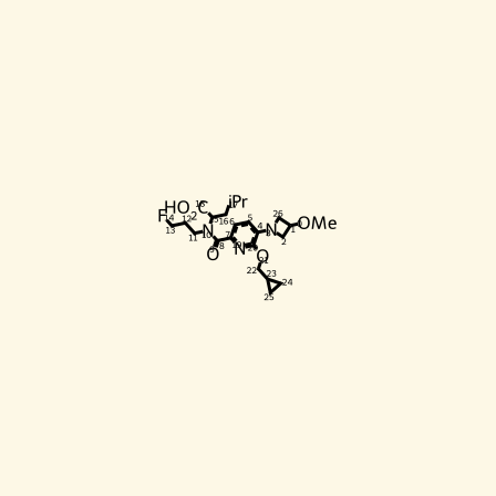 COC1CN(c2ccc(C(=O)N(CCCF)C(CC(C)C)C(=O)O)nc2OCC2CC2)C1